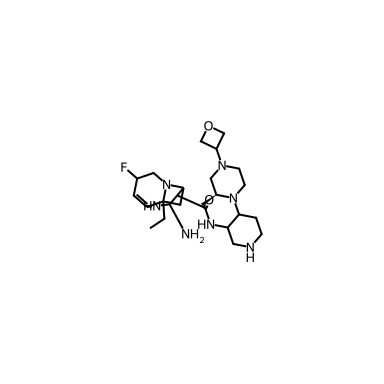 CCC12CC3C(C(=O)NC4CNCCC4N4CCN(C5COC5)C[C@@H]4C)C(N)NC1=CC(F)CN32